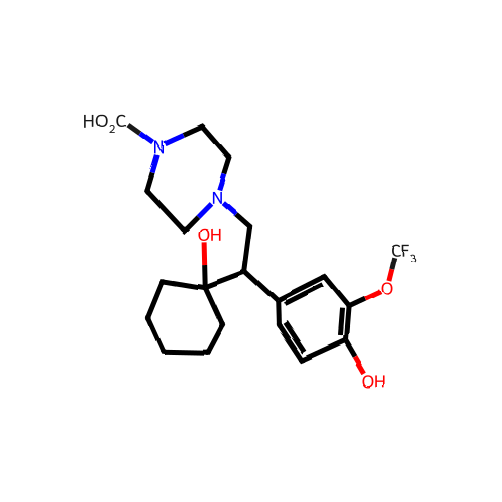 O=C(O)N1CCN(CC(c2ccc(O)c(OC(F)(F)F)c2)C2(O)CCCCC2)CC1